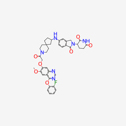 COc1cc2c(Oc3ccccc3F)ncnc2cc1OCC(=O)N1CCC2(CCC(Nc3ccc4c(c3)CN(C3CCC(=O)NC3=O)C4=O)C2)CC1